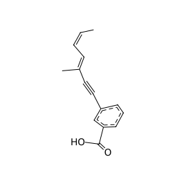 C/C=C\C=C(/C)C#Cc1cccc(C(=O)O)c1